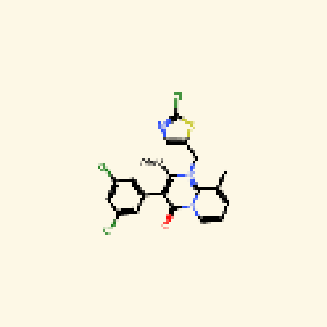 COc1c(-c2cc(Cl)cc(Cl)c2)c(=O)n2cccc(C)c2[n+]1Cc1cnc(Cl)s1